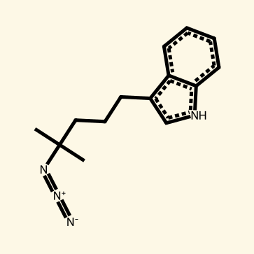 CC(C)(CCCc1c[nH]c2ccccc12)N=[N+]=[N-]